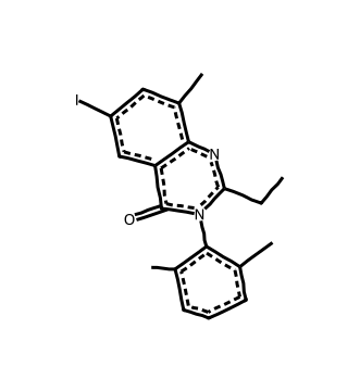 CCc1nc2c(C)cc(I)cc2c(=O)n1-c1c(C)cccc1C